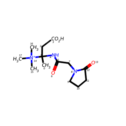 CC(CC(=O)O)(NC(=O)CN1CCCC1=O)[N+](C)(C)C